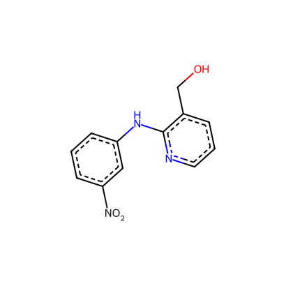 O=[N+]([O-])c1cccc(Nc2ncccc2CO)c1